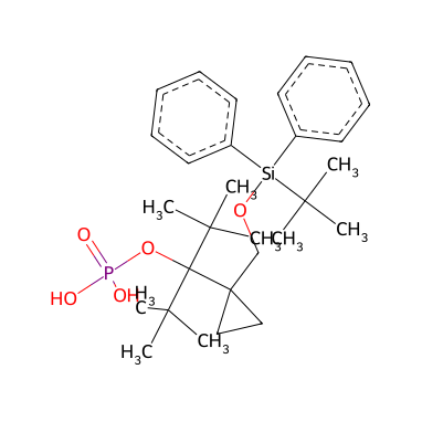 CC(C)(C)C(OP(=O)(O)O)(C(C)(C)C)C1(CO[Si](c2ccccc2)(c2ccccc2)C(C)(C)C)CC1